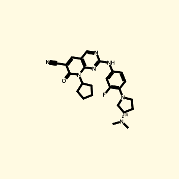 CN(C)[C@H]1CCN(c2ccc(Nc3ncc4cc(C#N)c(=O)n(C5CCCC5)c4n3)cc2F)C1